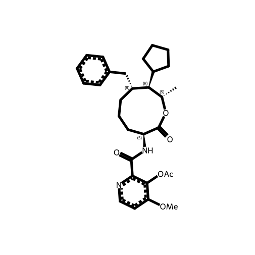 COc1ccnc(C(=O)N[C@H]2CCC[C@H](Cc3ccccc3)[C@@H](C3CCCC3)[C@H](C)OC2=O)c1OC(C)=O